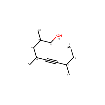 CC(C)CC(C)C#CC(C)CC(C)CO